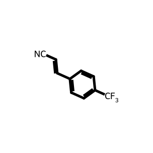 N#C/C=C/c1ccc(C(F)(F)F)cc1